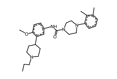 CCCN1CCC(c2cc(NC(=O)N3CCN(c4cccc(C)c4C)CC3)ccc2OC)CC1